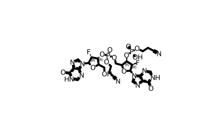 N#CCCOP(=O)(O)O[C@@H]1C(COP(=O)(OCCC#N)O[C@@H]2C(CO)OC(n3cnc4c(=O)[nH]cnc43)[C@@H]2F)OC(n2cnc3c(=O)[nH]cnc32)[C@@H]1F